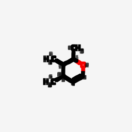 CC1OC=C[C@@H](C)C1C